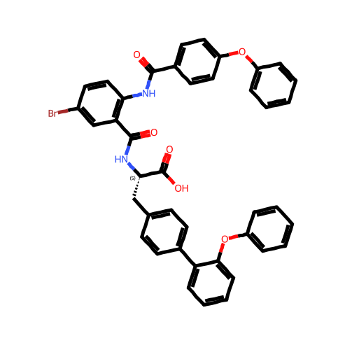 O=C(Nc1ccc(Br)cc1C(=O)N[C@@H](Cc1ccc(-c2ccccc2Oc2ccccc2)cc1)C(=O)O)c1ccc(Oc2ccccc2)cc1